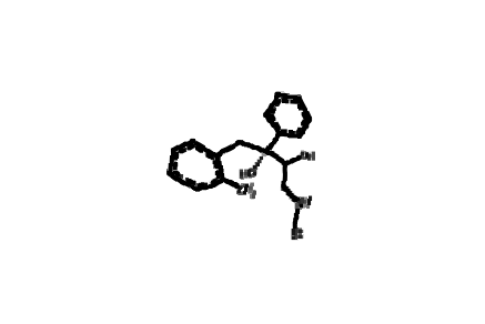 CCNCC(O)[C@@](O)(Cc1ccccc1C)c1ccccc1